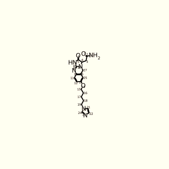 NC(=O)CC1C(=O)NC2=Nc3ccc(OCCCCCn4ccnc4)cc3CN21